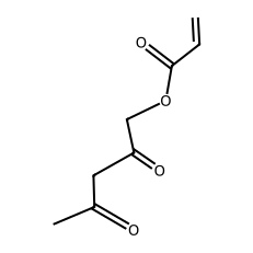 C=CC(=O)OCC(=O)CC(C)=O